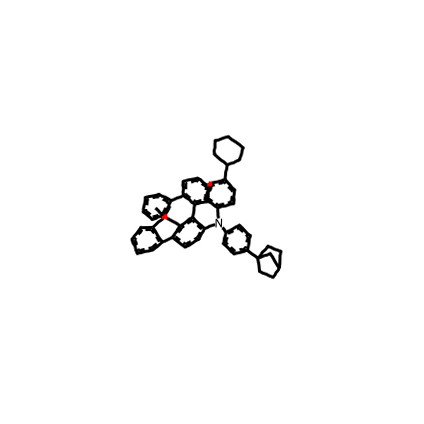 CC1(C)c2ccccc2-c2ccc(N(c3ccc(C4CCCCC4)cc3)c3ccc(C45CCC(CC4)C5)cc3)c(-c3ccccc3-c3ccccc3)c21